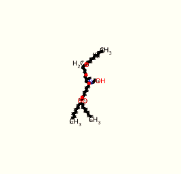 C=C(CCCCCC1CC(CCCCCCC(=O)OC(CCCCCCCC)CCCCCCCC)N(CCO)C1)OCCCCCCCCC